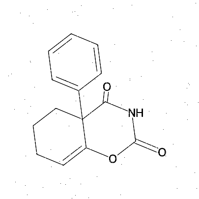 O=C1NC(=O)C2(c3ccccc3)CCCC=C2O1